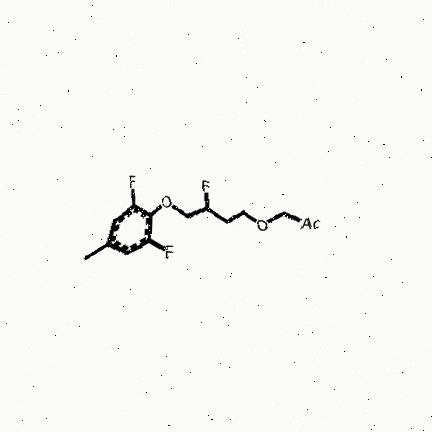 CC(=O)COCCC(F)COc1c(F)cc(C)cc1F